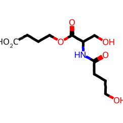 O=C(O)CCCOC(=O)C(CO)NC(=O)CCCO